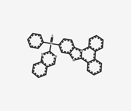 S=P(c1ccccc1)(c1ccc2c(c1)nc1c3ccccc3c3ccccc3n21)c1ncc2ccccc2n1